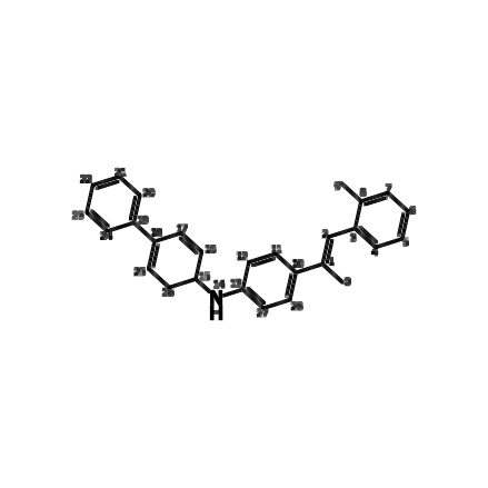 C/C(=C\c1ccccc1C)c1ccc(NC2C=CC(c3ccccc3)=CC2)cc1